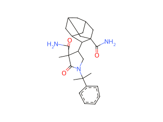 CC1(C(N)=O)C(=O)N(C(C)(C)c2ccccc2)CC1C1C2CC3CC(C2)CC1(C(N)=O)C3